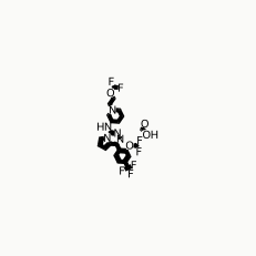 FC(F)OCCN1CCC[C@@H](Nc2nnc(-c3ccc(C(F)(F)F)cc3OC(F)F)c3cccn23)C1.O=CO